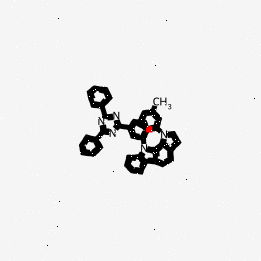 Cc1cccc(-n2ccc3ccc4c5ccccc5n(-c5cccc(-c6nc(-c7ccccc7)nc(-c7ccccc7)n6)c5)c4c32)c1